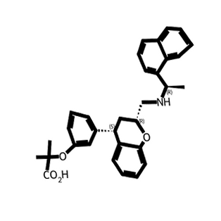 C[C@@H](NC[C@H]1C[C@@H](c2cccc(OC(C)(C)C(=O)O)c2)c2ccccc2O1)c1cccc2ccccc12